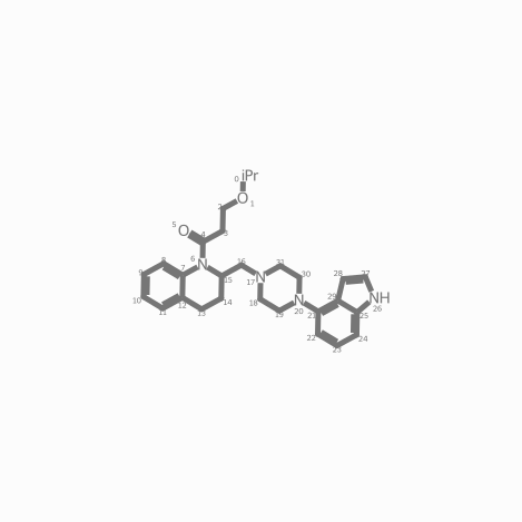 CC(C)OCCC(=O)N1c2ccccc2CCC1CN1CCN(c2cccc3[nH]ccc23)CC1